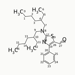 CCCCC(CC)CN(CC(CC)CCCC)c1nc(-c2ccccc2)c(C=O)s1